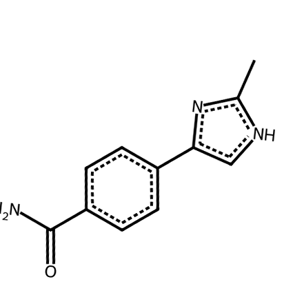 Cc1nc(-c2ccc(C(N)=O)cc2)c[nH]1